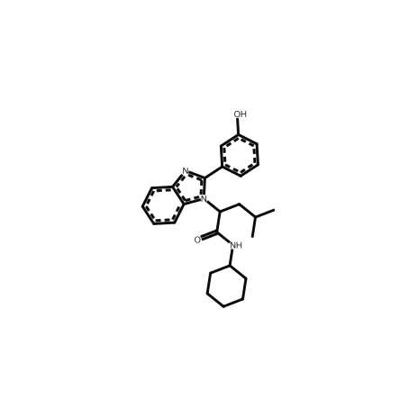 CC(C)CC(C(=O)NC1CCCCC1)n1c(-c2cccc(O)c2)nc2ccccc21